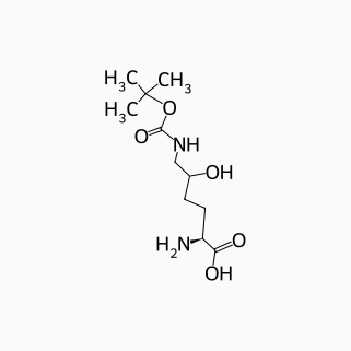 CC(C)(C)OC(=O)NCC(O)CC[C@H](N)C(=O)O